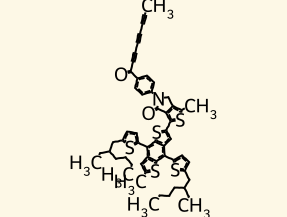 CC#CC#CC#CC(=O)c1ccc(N2Cc3c(C)sc(-c4cc5c(-c6ccc(CC(CC)CCCC)s6)c6sc(C)cc6c(-c6ccc(CC(CC)CCCC)s6)c5s4)c3C2=O)cc1